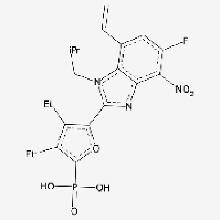 C=Cc1cc(F)c([N+](=O)[O-])c2nc(-c3oc(P(=O)(O)O)c(CC)c3CC)n(CC(C)C)c12